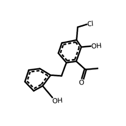 CC(=O)c1c(Cc2ccccc2O)ccc(CCl)c1O